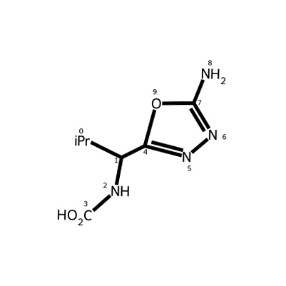 CC(C)C(NC(=O)O)c1nnc(N)o1